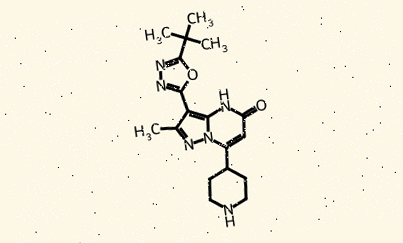 Cc1nn2c(C3CCNCC3)cc(=O)[nH]c2c1-c1nnc(C(C)(C)C)o1